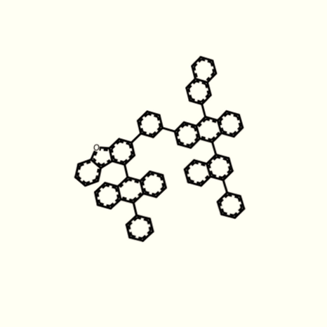 c1ccc(-c2ccc(-c3c4ccccc4c(-c4ccc5ccccc5c4)c4cc(-c5cccc(-c6cc(-c7c8ccccc8c(-c8ccccc8)c8ccccc78)c7c(c6)oc6ccccc67)c5)ccc34)c3ccccc23)cc1